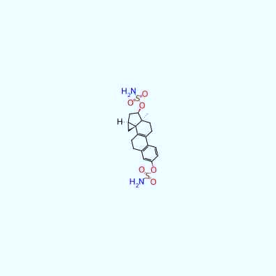 C[C@]12CCC3=C(CCc4cc(OS(N)(=O)=O)ccc43)[C@@]13C[C@H]3C[C@H]2OS(N)(=O)=O